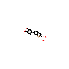 COC(OC)c1cc2ccc(-c3ccc4c(c3)COC4=O)cc2s1